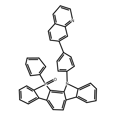 O=P1(c2ccccc2)c2ccccc2-c2ccc3c4ccccc4n(-c4ccc(-c5ccc6cccnc6c5)cc4)c3c21